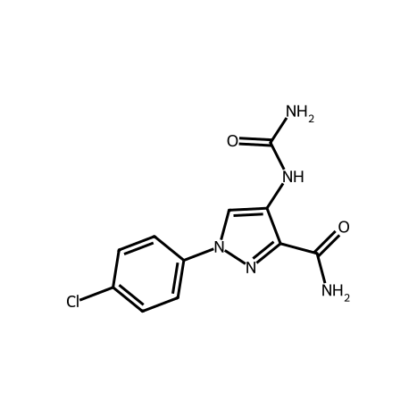 NC(=O)Nc1cn(-c2ccc(Cl)cc2)nc1C(N)=O